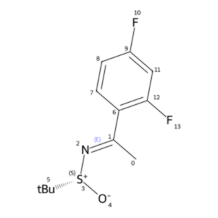 C/C(=N\[S@+]([O-])C(C)(C)C)c1ccc(F)cc1F